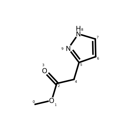 COC(=O)Cc1cc[nH]n1